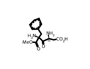 COC(=O)[C@](N)(Cc1ccccc1)C(=O)[C@@H](N)CC(=O)O